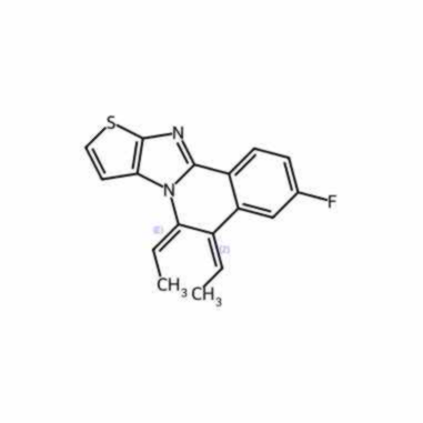 C/C=c1\c(=C/C)n2c3ccsc3nc2c2ccc(F)cc12